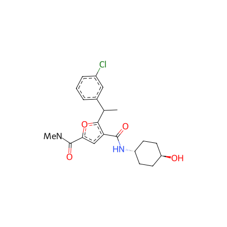 CNC(=O)c1cc(C(=O)N[C@H]2CC[C@H](O)CC2)c(C(C)c2cccc(Cl)c2)o1